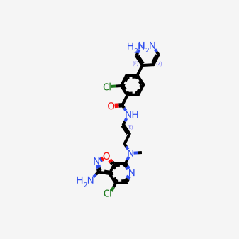 CN(C/C=C/NC(=O)c1ccc(C(/C=C\N)=C/N)cc1Cl)c1ncc(Cl)c2c(N)noc12